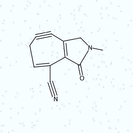 CN1CC2=C(C1=O)C(C#N)=CCC#C2